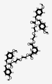 COc1ccc(CN(Cc2ccc(OC)cc2)C(=O)OCCOCCOC(=O)c2cccc(C(=O)OCCOCCOC(=O)N(Cc3ccc(OC)cc3)Cc3ccc(OC)cc3)n2)cc1